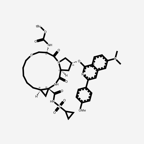 COc1ccc(-c2cc3cc(N(C)C)ccc3c(O[C@@H]3C[C@H]4C(=O)N[C@]5(C(=O)NS(=O)(=O)C6CC6)C[C@H]5CCCCCOC[C@H](NC(=O)OC(C)(C)C)C(=O)N4C3)n2)cc1